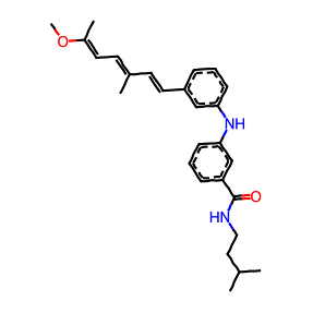 CO/C(C)=C/C=C(C)/C=C/c1cccc(Nc2cccc(C(=O)NCCC(C)C)c2)c1